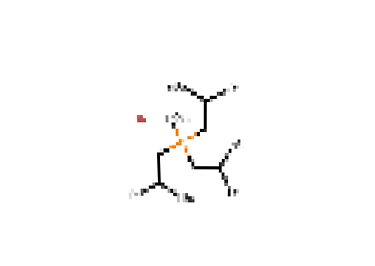 CCCCCCCC[P+](CC(CC)CCCC)(CC(CC)CCCC)CC(CC)CCCC.[Br-]